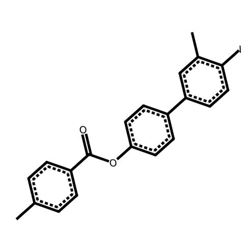 Cc1ccc(C(=O)Oc2ccc(-c3ccc(I)c(C)c3)cc2)cc1